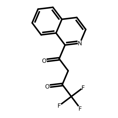 O=C(CC(=O)C(F)(F)F)c1nccc2ccccc12